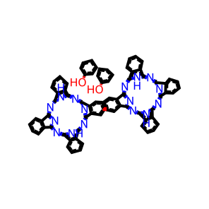 Oc1ccccc1.Oc1ccccc1.c1ccc2c(c1)-c1nc-2nc2[nH]c(nc3nc(nc4[nH]c(n1)c1ccccc41)-c1ccccc1-3)c1ccccc21.c1ccc2c(c1)-c1nc-2nc2[nH]c(nc3nc(nc4[nH]c(n1)c1ccccc41)-c1ccccc1-3)c1ccccc21